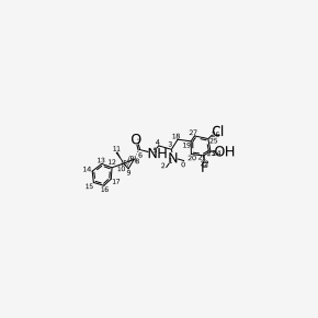 CN(C)C(CNC(=O)[C@@H]1C[C@]1(C)c1ccccc1)Cc1cc(F)c(O)c(Cl)c1